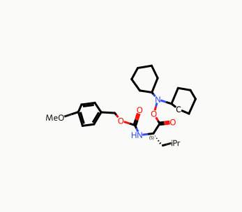 COc1ccc(COC(=O)N[C@@H](CC(C)C)C(=O)ON(C2CCCCC2)C2CCCCC2)cc1